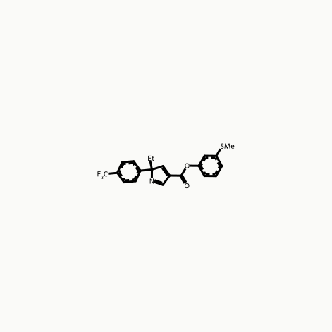 CCC1(c2ccc(C(F)(F)F)cc2)C=C(C(=O)Oc2cccc(SC)c2)C=N1